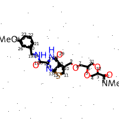 CNC(=O)C1COC(COCc2csc3nc(C(=O)NCc4cccc(OC)c4)[nH]c(=O)c23)CO1